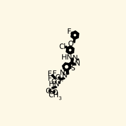 CS(=O)(=O)CCNC[C@H](Cn1cc2c(n1)CCc1c-2sc2ncnc(Nc3ccc(OCc4cccc(F)c4)c(Cl)c3)c12)OC(=O)C(F)(F)F